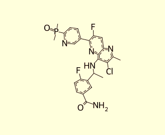 Cc1nc2cc(F)c(-c3ccc(P(C)(C)=O)nc3)nc2c(NC(C)c2cc(C(N)=O)ccc2F)c1Cl